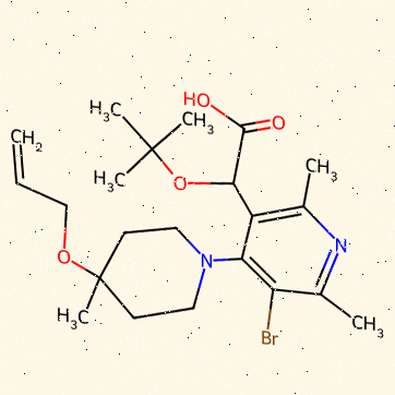 C=CCOC1(C)CCN(c2c(Br)c(C)nc(C)c2C(OC(C)(C)C)C(=O)O)CC1